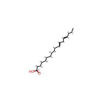 CCC/C=C/C/C=C/CCCCCCCCCC(=O)O